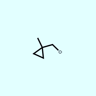 CC1(C[O])CC1